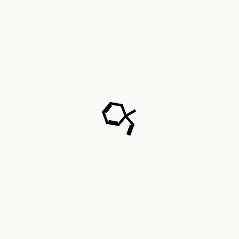 C=CC1(C)C=CC=CC1